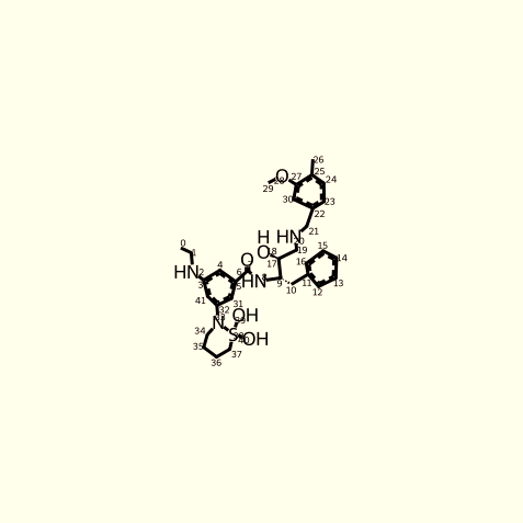 CCNc1cc(C(=O)N[C@@H](Cc2ccccc2)[C@@H](O)CNCc2ccc(C)c(OC)c2)cc(N2CCCCS2(O)O)c1